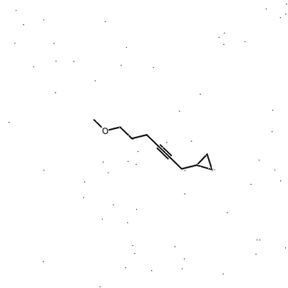 COCCCC#CCC1[CH]C1